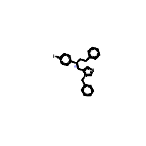 Fc1ccc(/C(=C/c2cncn2Cc2ccccc2)CCc2ccccc2)cc1